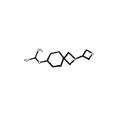 CC(C)OC1CCC2(CC1)CN(C1COC1)C2